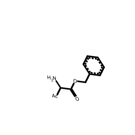 CC(=O)C(N)C(=O)OCc1ccccc1